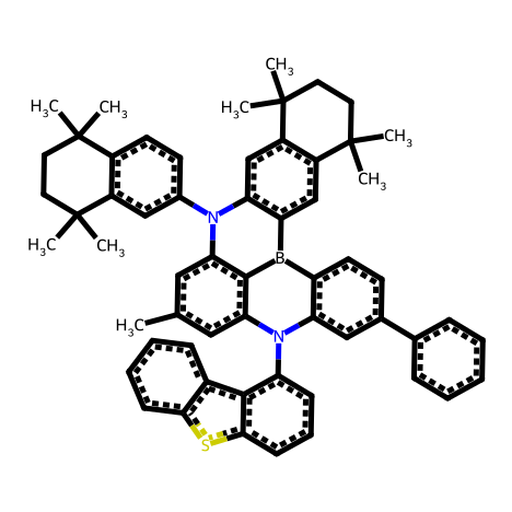 Cc1cc2c3c(c1)N(c1cccc4sc5ccccc5c14)c1cc(-c4ccccc4)ccc1B3c1cc3c(cc1N2c1ccc2c(c1)C(C)(C)CCC2(C)C)C(C)(C)CCC3(C)C